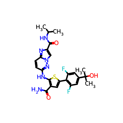 CC(C)NC(=O)c1cn2nc(Nc3sc(-c4c(F)cc(C(C)(C)O)cc4F)cc3C(N)=O)ccc2n1